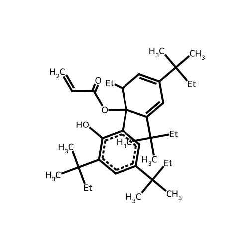 C=CC(=O)OC1(c2cc(C(C)(C)CC)cc(C(C)(C)CC)c2O)C(C(C)(C)CC)=CC(C(C)(C)CC)=CC1CC